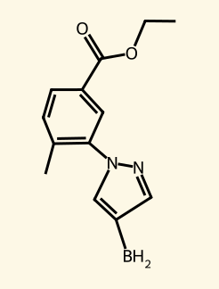 Bc1cnn(-c2cc(C(=O)OCC)ccc2C)c1